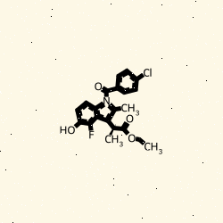 CCOC(=O)[C@@H](C)c1c(C)n(C(=O)c2ccc(Cl)cc2)c2ccc(O)c(F)c12